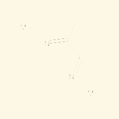 CON=CC(C)=NOC